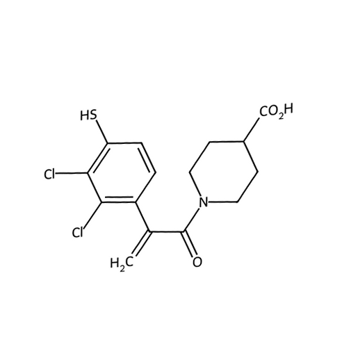 C=C(C(=O)N1CCC(C(=O)O)CC1)c1ccc(S)c(Cl)c1Cl